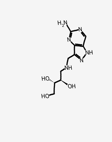 Nc1ncc2[nH]nc(CNC[C@@H](O)[C@@H](O)CO)c2n1